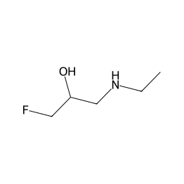 CCNCC(O)CF